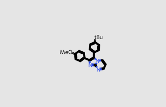 COc1ccc(-c2nc3ncccn3c2-c2ccc(C(C)(C)C)cc2)cc1